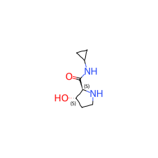 O=C(NC1CC1)[C@H]1NCC[C@@H]1O